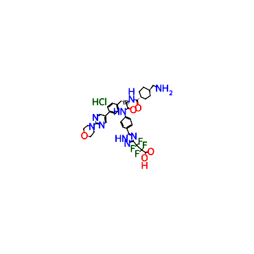 Cl.NC[C@H]1CC[C@H](C(=O)N[C@@H](Cc2ccc(-c3cnc(N4CCOCC4)nc3)cc2)C(=O)Nc2ccc(-c3nc(C(F)(F)C(F)(F)C(=O)O)n[nH]3)cc2)CC1